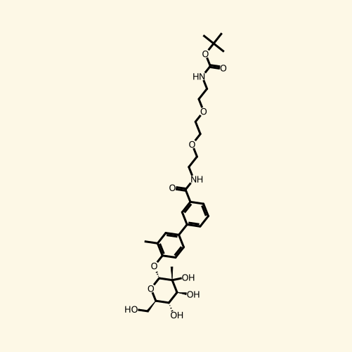 Cc1cc(-c2cccc(C(=O)NCCOCCOCCNC(=O)OC(C)(C)C)c2)ccc1O[C@H]1O[C@H](CO)[C@@H](O)[C@H](O)[C@@]1(C)O